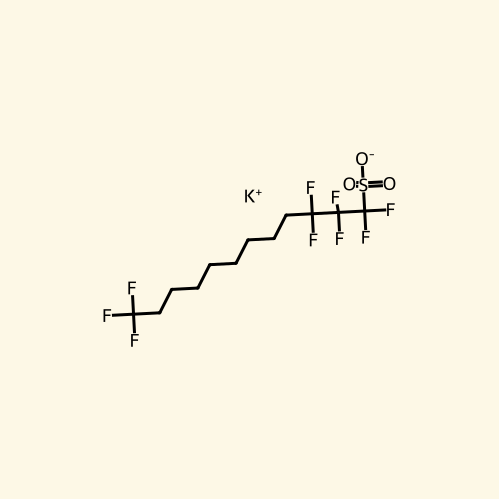 O=S(=O)([O-])C(F)(F)C(F)(F)C(F)(F)CCCCCCCCC(F)(F)F.[K+]